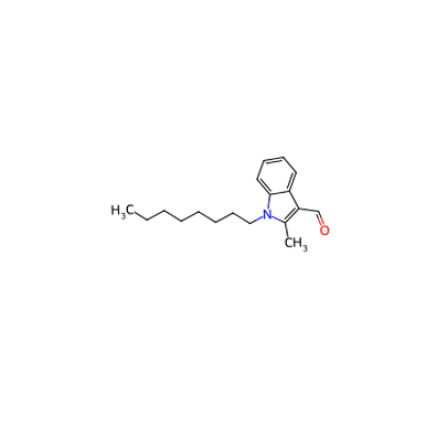 CCCCCCCCn1c(C)c(C=O)c2ccccc21